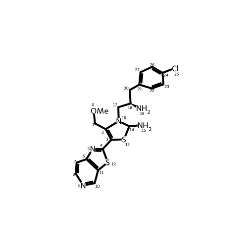 COCC1=C(c2nc3ccncc3s2)SC(N)N1C[C@H](N)Cc1ccc(Cl)cc1